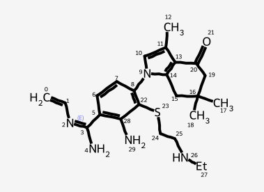 C=C/N=C(/N)c1ccc(-n2cc(C)c3c2CC(C)(C)CC3=O)c(SCCNCC)c1N